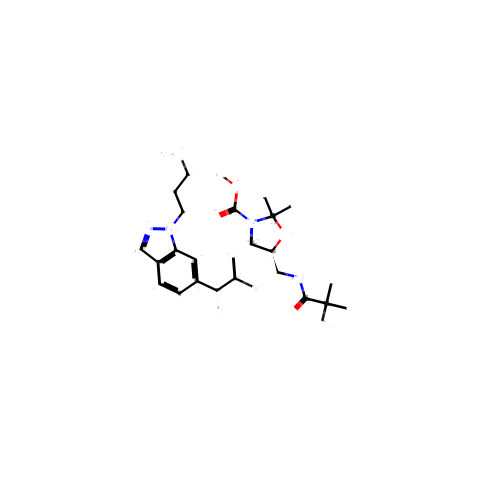 CCCCC(C)(C)C(=O)NC[C@@H]1OC(C)(C)N(C(=O)OC(C)(C)C)[C@H]1CC(C(C)C)[C@H](O)c1ccc2cnn(CCCOC)c2c1